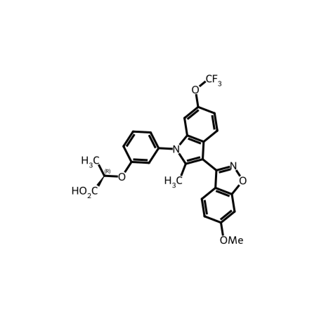 COc1ccc2c(-c3c(C)n(-c4cccc(O[C@H](C)C(=O)O)c4)c4cc(OC(F)(F)F)ccc34)noc2c1